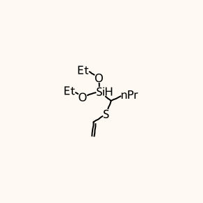 C=CSC(CCC)[SiH](OCC)OCC